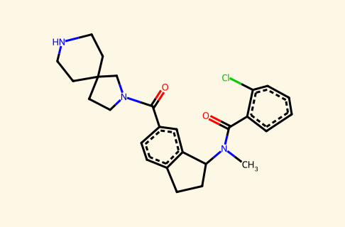 CN(C(=O)c1ccccc1Cl)C1CCc2ccc(C(=O)N3CCC4(CCNCC4)C3)cc21